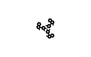 Cc1cc(-c2c(C)ccc3ccccc23)ccc1N(c1ccc(-c2c(C)ccc3ccccc23)cc1C)c1ccc(-c2c(C)ccc3ccccc23)cc1C